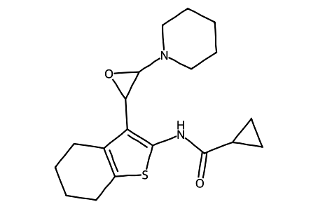 O=C(Nc1sc2c(c1C1OC1N1CCCCC1)CCCC2)C1CC1